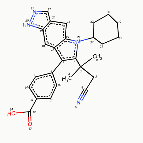 CC(C)(CC#N)c1c(-c2ccc(C(=O)O)cc2)c2cc3[nH]ncc3cc2n1C1CCCCC1